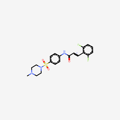 CN1CCN(S(=O)(=O)c2ccc(NC(=O)/C=C/c3c(F)cccc3F)cc2)CC1